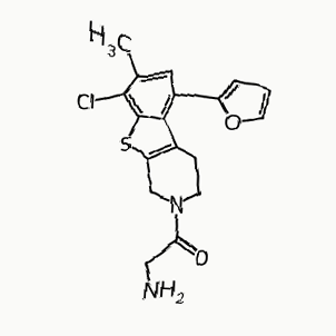 Cc1cc(-c2ccco2)c2c3c(sc2c1Cl)CN(C(=O)CN)CC3